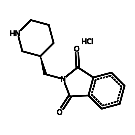 Cl.O=C1c2ccccc2C(=O)N1C[C@@H]1CCCNC1